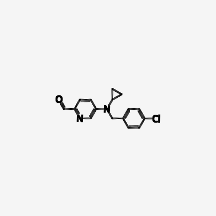 O=Cc1ccc(N(Cc2ccc(Cl)cc2)C2CC2)cn1